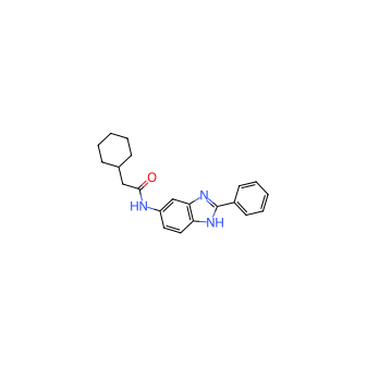 O=C(CC1CCCCC1)Nc1ccc2[nH]c(-c3ccccc3)nc2c1